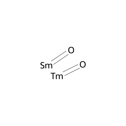 [O]=[Sm].[O]=[Tm]